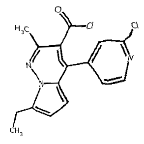 CCc1ccc2c(-c3ccnc(Cl)c3)c(C(=O)Cl)c(C)nn12